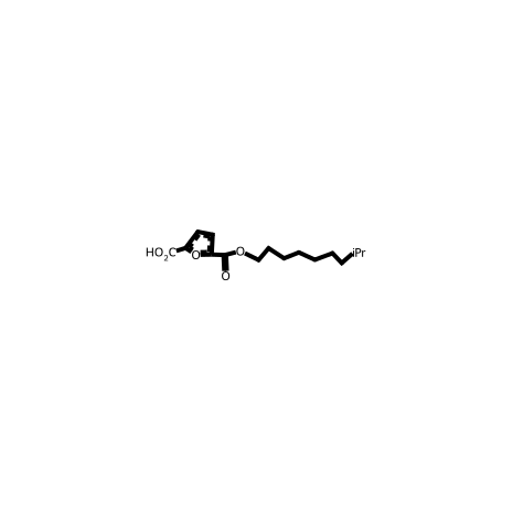 CC(C)CCCCCCCOC(=O)c1ccc(C(=O)O)o1